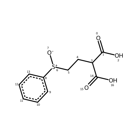 O=C(O)C(CC[S+]([O-])c1ccccc1)C(=O)O